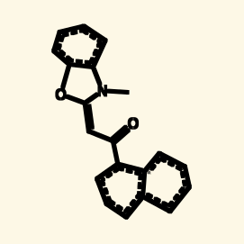 CN1/C(=C\C(=O)c2cccc3ccccc23)Oc2ccccc21